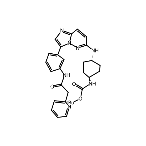 CC(C)(C)OC(=O)N[C@H]1CC[C@H](Nc2ccc3ncc(-c4cccc(NC(=O)Cc5ccccn5)c4)n3n2)CC1